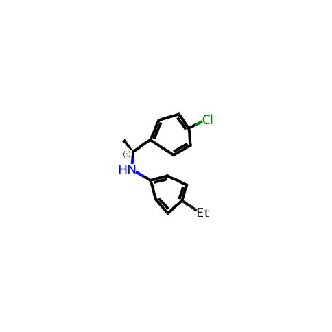 CCc1ccc(N[C@@H](C)c2ccc(Cl)cc2)cc1